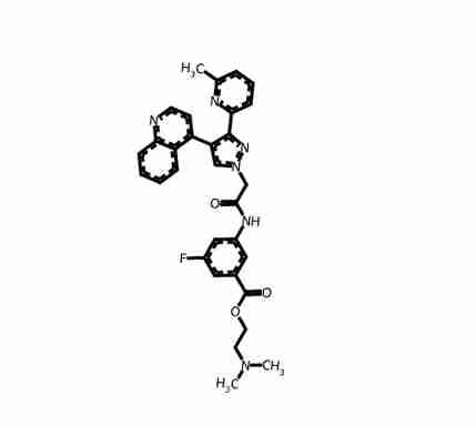 Cc1cccc(-c2nn(CC(=O)Nc3cc(F)cc(C(=O)OCCN(C)C)c3)cc2-c2ccnc3ccccc23)n1